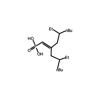 CCCCC(CC)CC(=CP(=O)(O)O)CC(CC)CCCC